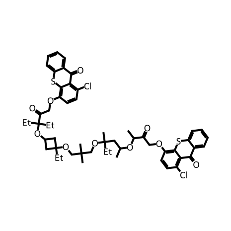 CCC(C)(CC(C)OC(C)C(=O)COc1ccc(Cl)c2c(=O)c3ccccc3sc12)OCC(C)(C)COC1(CC)CC(OC(CC)(CC)C(=O)COc2ccc(Cl)c3c(=O)c4ccccc4sc23)C1